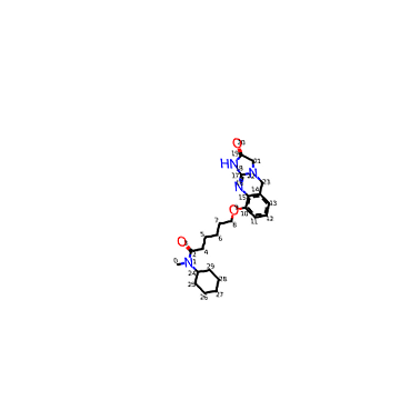 CN(C(=O)CCCCCOc1cccc2c1N=C1NC(=O)CN1C2)C1CCCCC1